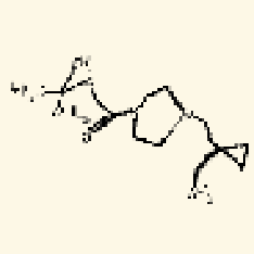 CC(C)(C)OC(=O)N1CCN(CC2(CN)CC2)CC1